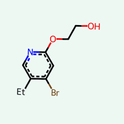 CCc1cnc(OCCO)cc1Br